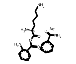 NC(=O)c1ccccc1.NCCCC[C@H](N)C(=O)OC(=O)c1ccccc1N.[Ag]